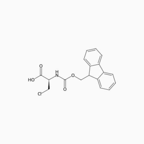 O=C(N[C@@H](CCl)C(=O)O)OCC1c2ccccc2-c2ccccc21